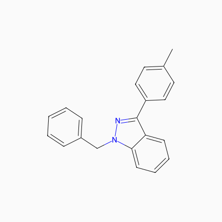 Cc1ccc(-c2nn(Cc3ccccc3)c3ccccc23)cc1